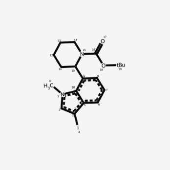 Cn1cc(I)c2cccc(C3CCCCN3C(=O)OC(C)(C)C)c21